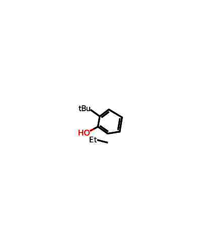 CC(C)(C)c1ccccc1O.CCC